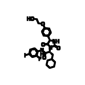 O=C(Nc1ccc(I)cc1F)[C@H](CC1CCCCC1)N1C(=O)N[C@H](c2ccc(OCCO)cc2)C1=O